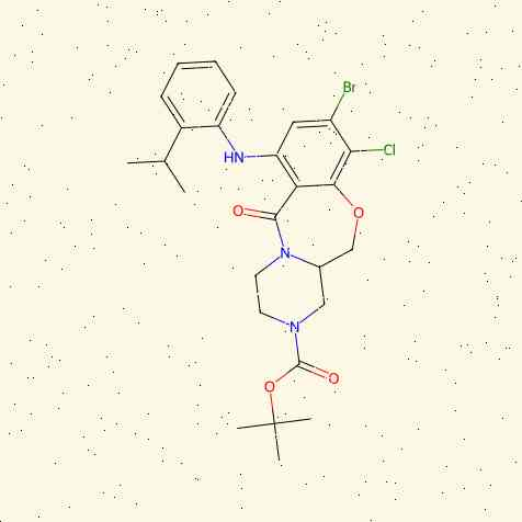 CC(C)c1ccccc1Nc1cc(Br)c(Cl)c2c1C(=O)N1CCN(C(=O)OC(C)(C)C)CC1CO2